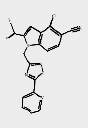 N#Cc1ccc2c(cc(C(F)F)n2Cc2noc(-c3ccccn3)n2)c1Cl